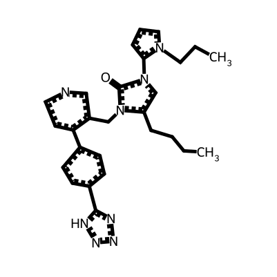 CCCCc1cn(-c2cccn2CCC)c(=O)n1Cc1cnccc1-c1ccc(-c2nnn[nH]2)cc1